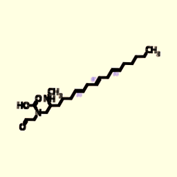 CCCCC/C=C/C/C=C/C/C=C/CCCC(CN(CC=O)C(=O)O)NC